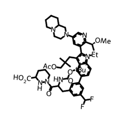 CCn1c(-c2cc(N3CCN4CCCCC4C3)cnc2[C@H](C)OC)c(CC(C)(C)COC(C)=O)c2cc(-c3cc(CC(NC(=O)OC(C)(C)C)C(=O)N4CCCC(C(=O)O)N4)cc(C(F)F)c3)ccc21